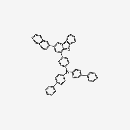 c1ccc(-c2ccc(N(c3ccc(-c4ccccc4)cc3)c3ccc(-c4cc(-c5ccc6ccccc6c5)cc5c4sc4ccccc45)cc3)cc2)cc1